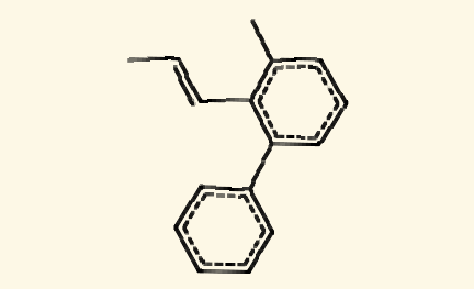 CC=Cc1c(C)cccc1-c1ccccc1